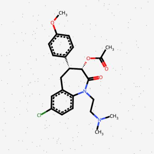 COc1ccc([C@H]2Cc3cc(Cl)ccc3N(CCN(C)C)C(=O)[C@H]2OC(C)=O)cc1